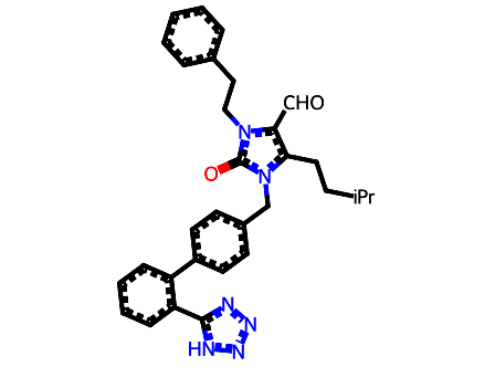 CC(C)CCc1c(C=O)n(CCc2ccccc2)c(=O)n1Cc1ccc(-c2ccccc2-c2nnn[nH]2)cc1